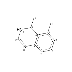 Cc1cccc2c1C(C)NC=N2